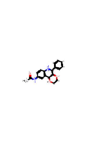 CC(=O)Nc1ccc2c(c1)C1OCCOC1C(c1ccccc1)N2